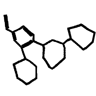 C=Cc1ccc(C2CCCC(C3CCCCC3)C2)c(C2CCCCC2)c1